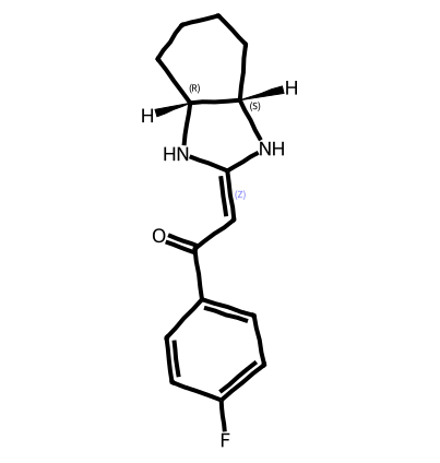 O=C(/C=C1/N[C@H]2CCCC[C@H]2N1)c1ccc(F)cc1